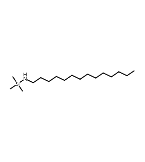 CCCCCCCCCCCCCCN[Si](C)(C)C